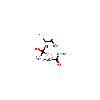 CCC(C)(O)O.COC(=O)OC.OCCO